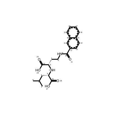 CC(C)C[C@H](N[C@@H](CCNC(=O)c1ccc2ccccc2c1)C(=O)O)C(=O)O